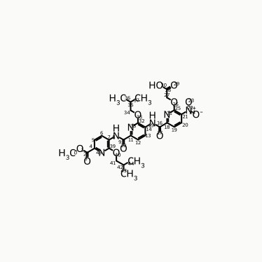 COC(=O)c1ccc(NC(=O)c2ccc(NC(=O)c3ccc([N+](=O)[O-])c(OCC(=O)O)n3)c(OCC(C)C)n2)c(OCC(C)C)n1